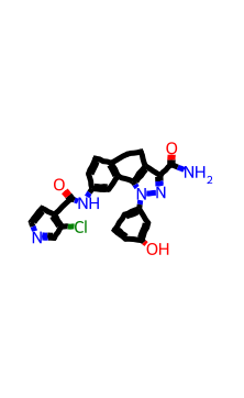 NC(=O)c1nn(-c2cccc(O)c2)c2c1CCc1ccc(NC(=O)c3ccncc3Cl)cc1-2